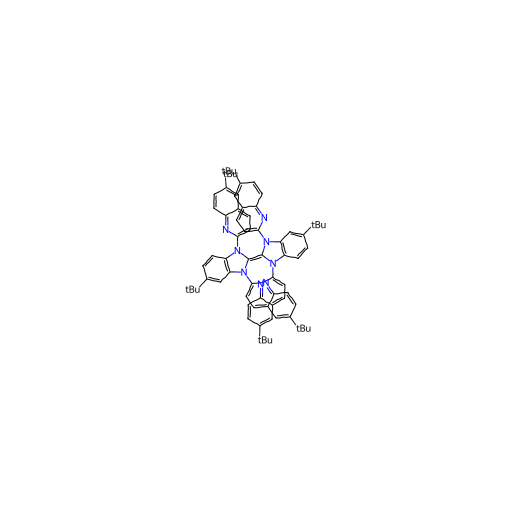 CC(C)(C)c1ccc2c(c1)N(c1ccc3cc(C(C)(C)C)ccc3n1)/C(=C1\N(c3ccc4cc(C(C)(C)C)ccc4n3)c3ccc(C(C)(C)C)cc3N1c1ccc3cc(C(C)(C)C)ccc3n1)N2c1ccc2cc(C(C)(C)C)ccc2n1